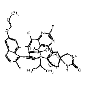 COCOc1cc(-c2c(F)cc3c(N4CCCC5(CNC(=O)N5)C4)nc(F)nc3c2F)c2c(C#C[Si](C(C)C)(C(C)C)C(C)C)c(F)ccc2c1